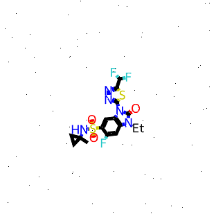 CCn1c(=O)n(-c2nnc(C(F)F)s2)c2cc(S(=O)(=O)NC3(C)CC3)c(F)cc21